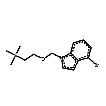 C[Si](C)(C)CCOCn1ccc2c(Br)cccc21